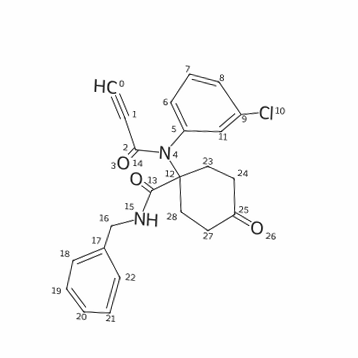 C#CC(=O)N(c1cccc(Cl)c1)C1(C(=O)NCc2ccccc2)CCC(=O)CC1